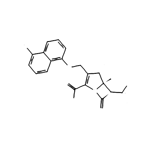 C[C@@H](O)[C@H]1C(=O)N2C(C(=O)O)=C(COc3cccc4c(N)cccc34)[C@H](C)[C@H]12